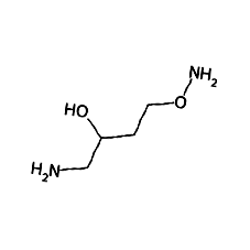 NCC(O)CCON